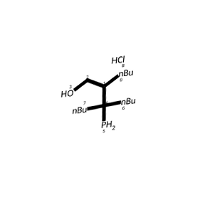 CCCCC(CO)C(P)(CCCC)CCCC.Cl